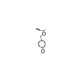 C#CC(C)OCc1ccc(OC)cc1